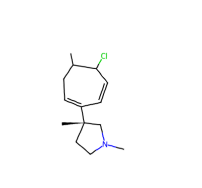 CC1CC=C([C@@]2(C)CCN(C)C2)C=CC1Cl